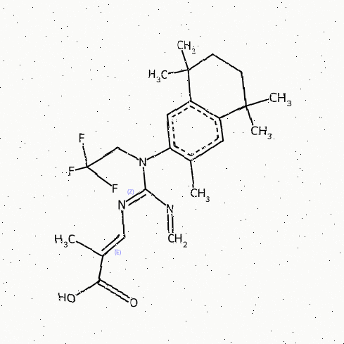 C=N/C(=N\C=C(/C)C(=O)O)N(CC(F)(F)F)c1cc2c(cc1C)C(C)(C)CCC2(C)C